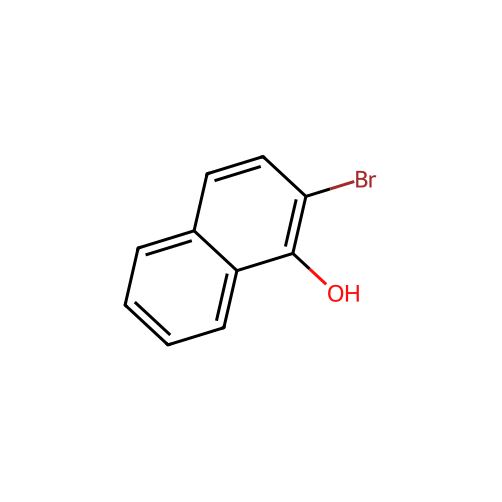 Oc1c(Br)ccc2ccccc12